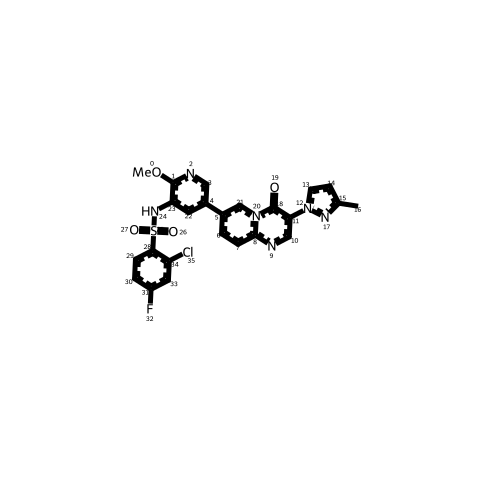 COc1ncc(-c2ccc3ncc(-n4ccc(C)n4)c(=O)n3c2)cc1NS(=O)(=O)c1ccc(F)cc1Cl